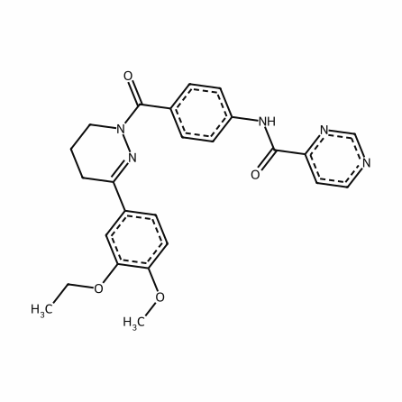 CCOc1cc(C2=NN(C(=O)c3ccc(NC(=O)c4ccncn4)cc3)CCC2)ccc1OC